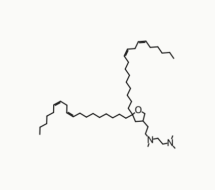 CCCCC/C=C\C/C=C\CCCCCCCCC1(CCCCCCCC/C=C\C/C=C\CCCCC)CC(CCN(C)CCN(C)C)CO1